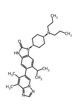 CCCN(CCC)[C@H]1CC[C@@H](n2c(=O)[nH]c3cc(-c4cn5ncnc5c(C)c4C)c(C(C)C)cc32)CC1